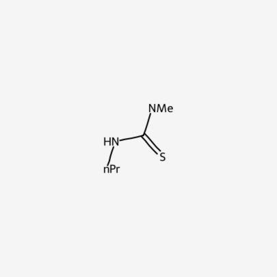 CCCNC(=S)NC